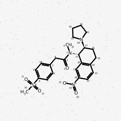 CN(C(=O)Cc1ccc(S(C)(=O)=O)cc1)[C@H]1c2cc([N+](=O)[O-])ccc2CC[C@@H]1N1CCCC1